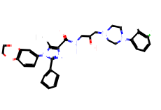 Cc1c(Cl)cccc1N1CCN(CC(O)CNC(=O)c2nc(-c3ccccc3)n(-c3ccc4c(c3)OCCO4)c2C)CC1